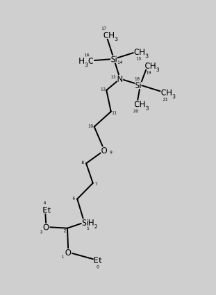 CCOC(OCC)[SiH2]CCCOCCCN([Si](C)(C)C)[Si](C)(C)C